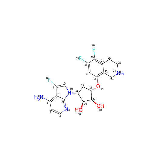 Nc1ccnc2c1c(F)cn2[C@@H]1C[C@H](Oc2cc(F)c(F)c3c2CNCC3)[C@@H](O)[C@H]1O